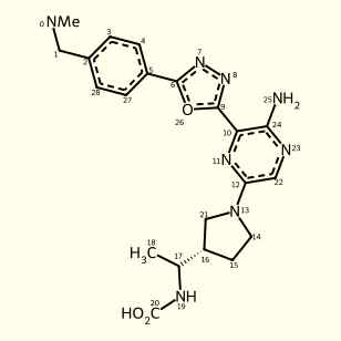 CNCc1ccc(-c2nnc(-c3nc(N4CC[C@H](C(C)NC(=O)O)C4)cnc3N)o2)cc1